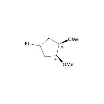 CCN1C[C@H](OC)[C@H](OC)C1